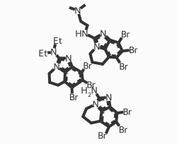 CCN(CC)c1nc2c(Br)c(Br)c(Br)c3c2n1CCC3.CN(C)CCNc1nc2c(Br)c(Br)c(Br)c3c2n1CCC3.Nc1nc2c(Br)c(Br)c(Br)c3c2n1CCC3